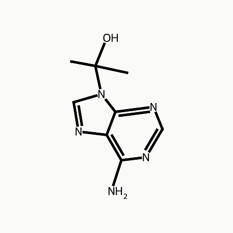 CC(C)(O)n1cnc2c(N)ncnc21